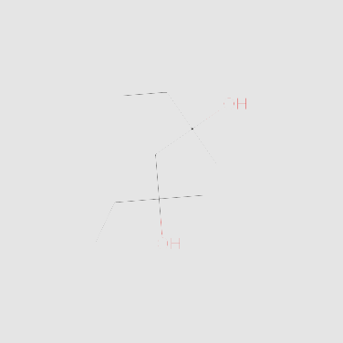 CCC(C)(O)CC(C)(O)CC